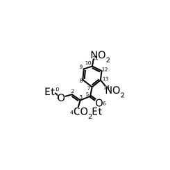 CCOC=C(C(=O)OCC)C(=O)c1ccc([N+](=O)[O-])cc1[N+](=O)[O-]